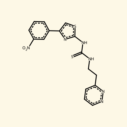 O=[N+]([O-])c1cccc(-c2csc(NC(=S)NCCc3cccnn3)n2)c1